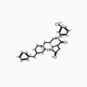 O=C1CC(C(=O)N(CCCN2CCC(Cc3ccccc3)CC2)c2cccc(Cl)c2)CN1